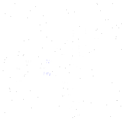 C1=C(c2ccc(-c3ccccc3)cc2)NC(c2ccc3ccccc3c2)N=C1c1ccc2c(c1)C1(c3ccccc3-c3ccccc31)c1ccccc1-2